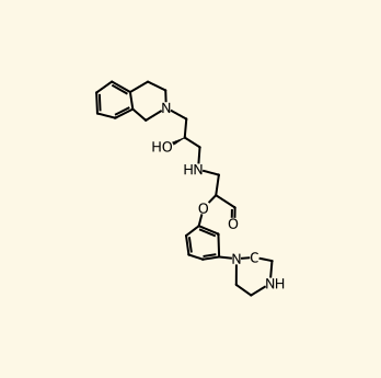 O=CC(CNC[C@@H](O)CN1CCc2ccccc2C1)Oc1cccc(N2CCNCC2)c1